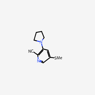 CSc1cnc(C#N)c(N2CCCC2)c1